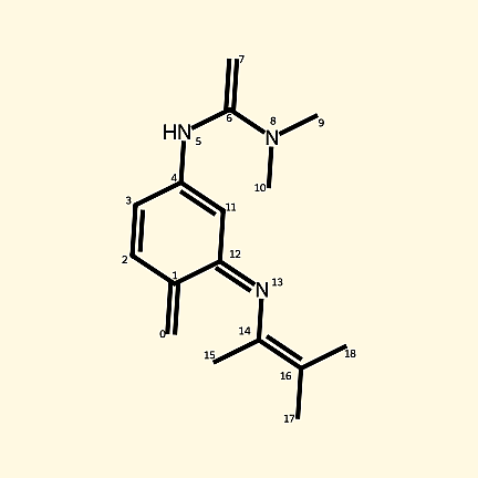 C=C1C=CC(NC(=C)N(C)C)=C/C1=N/C(C)=C(C)C